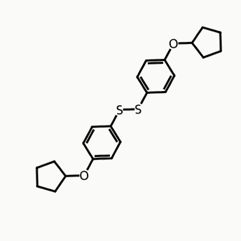 c1cc(SSc2ccc(OC3CCCC3)cc2)ccc1OC1CCCC1